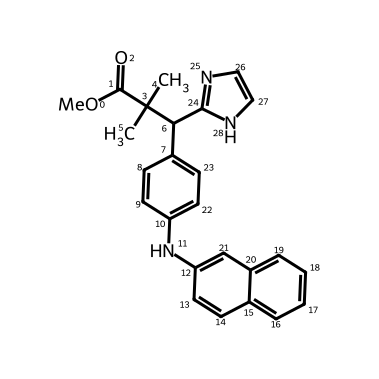 COC(=O)C(C)(C)C(c1ccc(Nc2ccc3ccccc3c2)cc1)c1ncc[nH]1